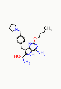 CCCCOc1nc(N)c2[nH]c(C(N)O)c(Cc3ccc(CN4CCCC4)cc3)c2n1